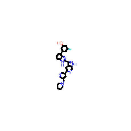 Oc1cc(F)cc(-c2cccc3[nH]c(-c4n[nH]c5cnc(-c6cncc(CN7CCCCC7)c6)cc45)nc23)c1